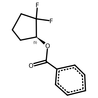 O=C(O[C@H]1CCCC1(F)F)c1ccccc1